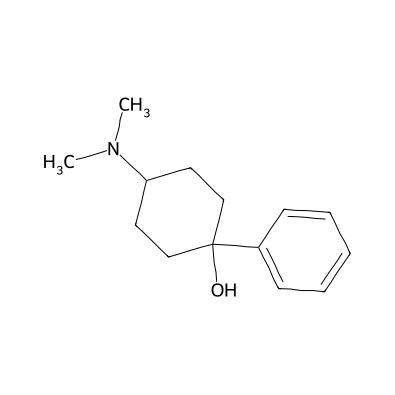 CN(C)C1CCC(O)(c2ccccc2)CC1